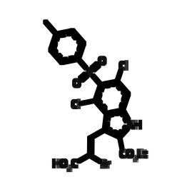 CCOC(=O)c1[nH]c2cc(Cl)c(S(=O)(=O)c3ccc(C)cc3)c(Cl)c2c1/C=C(\Br)C(=O)O